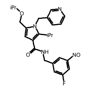 CC(C)OCc1cc(C(=O)NCc2cc(F)cc(N=O)c2)c(C(C)C)n1Cc1cccnc1